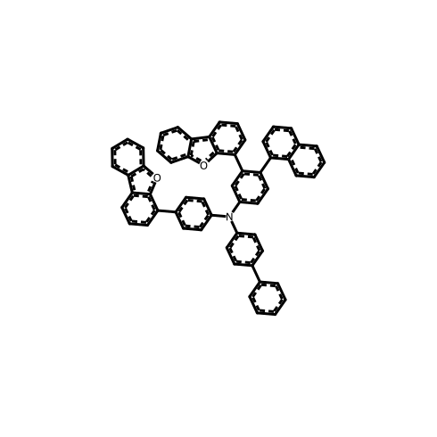 c1ccc(-c2ccc(N(c3ccc(-c4cccc5c4oc4ccccc45)cc3)c3ccc(-c4cccc5ccccc45)c(-c4cccc5c4oc4ccccc45)c3)cc2)cc1